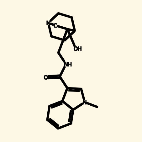 Cn1cc(C(=O)NCC2(O)CN3CCC2CC3)c2ccccc21